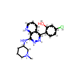 CN1CCCC(Nc2nnc(-c3ccc(Cl)cc3O)c3cccnc23)C1